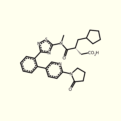 CN(C(=O)[C@@H](CC(=O)O)CC1CCCC1)c1nc(-c2ccccc2-c2ccc(N3CCCC3=O)nc2)ns1